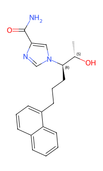 C[C@H](O)[C@@H](CCCc1cccc2ccccc12)n1cnc(C(N)=O)c1